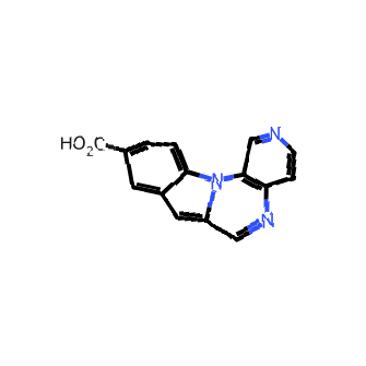 O=C(O)c1ccc2c(c1)cc1cnc3ccncc3n12